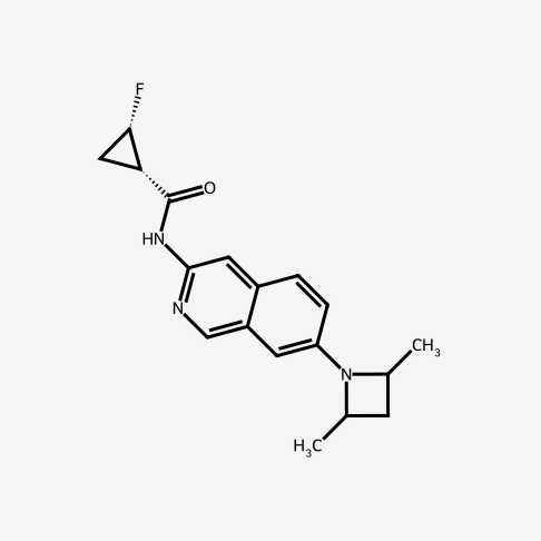 CC1CC(C)N1c1ccc2cc(NC(=O)[C@@H]3C[C@@H]3F)ncc2c1